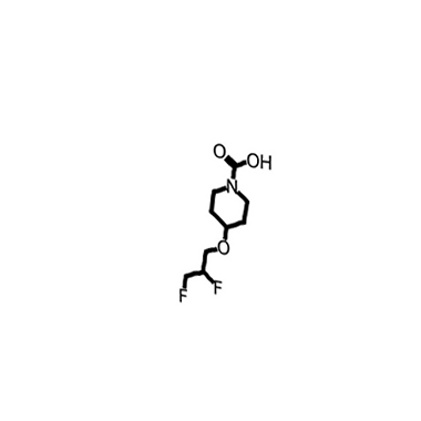 O=C(O)N1CCC(OCC(F)CF)CC1